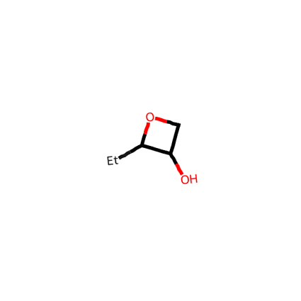 CCC1OCC1O